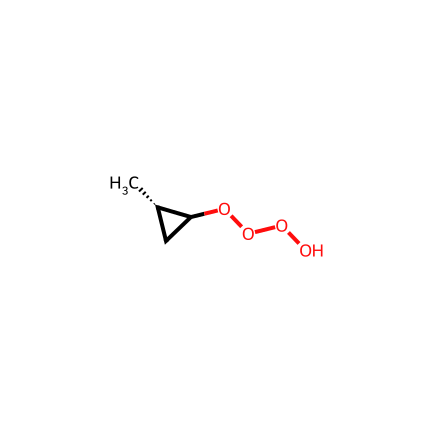 C[C@H]1CC1OOOO